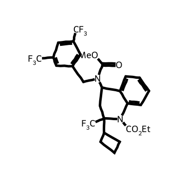 CCOC(=O)N1c2ccccc2C(N(Cc2cc(C(F)(F)F)cc(C(F)(F)F)c2)C(=O)OC)CC1(C1CCC1)C(F)(F)F